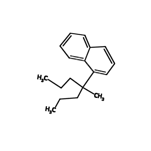 CCCC(C)(CCC)c1cccc2ccccc12